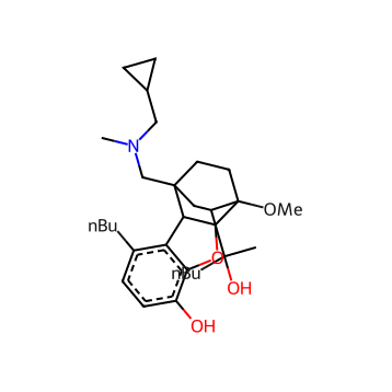 CCCCc1ccc(O)c2c1C1C(O2)C2(OC)CCC1(CN(C)CC1CC1)CC2C(C)(O)CCCC